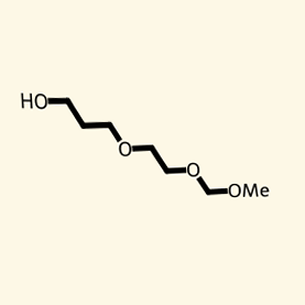 COCOCCOCCCO